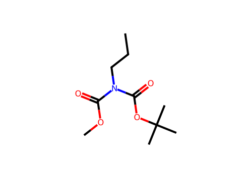 CCCN(C(=O)OC)C(=O)OC(C)(C)C